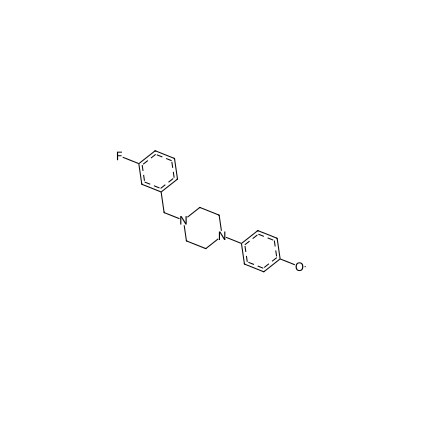 [O]c1ccc(N2CCN(Cc3cccc(F)c3)CC2)cc1